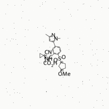 CO[C@@H]1CC[C@@H](S(=O)(=O)c2ccc(-c3cc(C)nn3C)cc2C(F)(F)F)C1.N#CC1(NC(=O)O)CC1